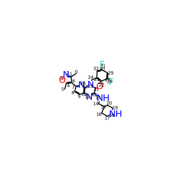 Cc1noc(C)c1-c1ccc2nc(NCC3CCNCC3)c(=O)n(Cc3cc(F)cc(F)c3)c2n1